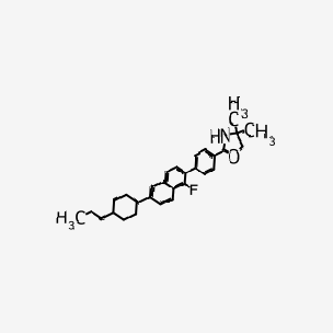 CCCC1CCC(c2ccc3c(F)c(-c4ccc(C5NC(C)(C)CO5)cc4)ccc3c2)CC1